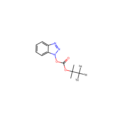 [2H]C([2H])([2H])C(C)(C)OC(=O)On1nnc2ccccc21